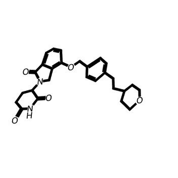 O=C1CCC(N2Cc3c(OCc4ccc(CCC5CCOCC5)cc4)cccc3C2=O)C(=O)N1